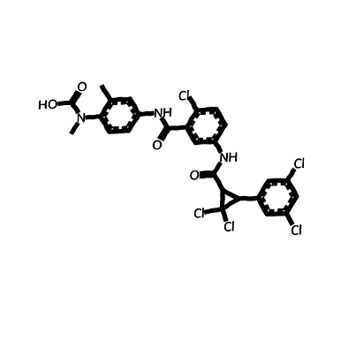 Cc1cc(NC(=O)c2cc(NC(=O)C3C(c4cc(Cl)cc(Cl)c4)C3(Cl)Cl)ccc2Cl)ccc1N(C)C(=O)O